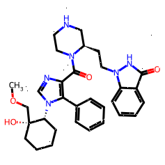 COC[C@]1(O)CCCC[C@H]1n1cnc(C(=O)N2CCNC[C@H]2CCn2[nH]c(=O)c3ccccc32)c1-c1ccccc1